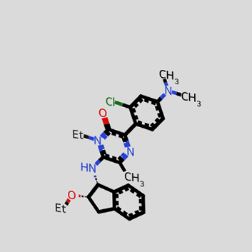 CCO[C@H]1Cc2ccccc2[C@H]1Nc1c(C)nc(-c2ccc(N(C)C)cc2Cl)c(=O)n1CC